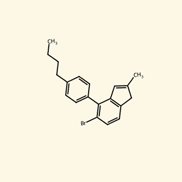 CCCCc1ccc(-c2c(Br)ccc3c2C=C(C)C3)cc1